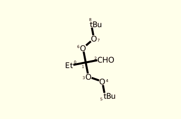 CCC(C=O)(OOC(C)(C)C)OOC(C)(C)C